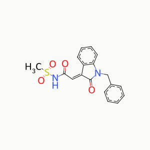 CS(=O)(=O)NC(=O)/C=C1/C(=O)N(Cc2ccccc2)c2ccccc21